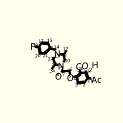 CC(=O)c1ccc(OCC(=O)N2CC(C)N(Cc3ccc(F)cc3)CC2C)c(C(=O)O)c1